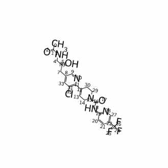 CC(=O)NC[C@H](O)Cc1cnc(C2=CCN(C(=O)Nc3ccc(C(F)(F)F)cn3)CC2)c(Cl)c1